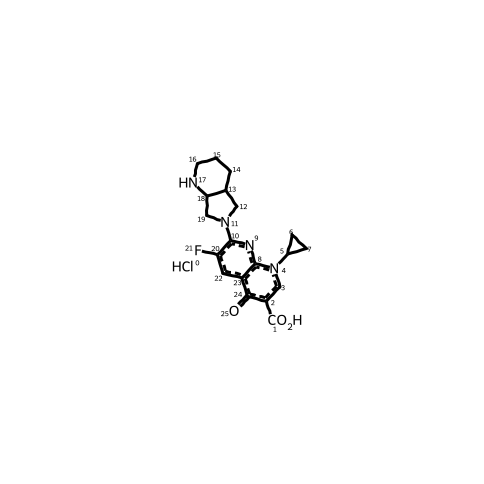 Cl.O=C(O)c1cn(C2CC2)c2nc(N3CC4CCCNC4C3)c(F)cc2c1=O